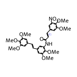 COc1cc(C=Cc2cc(OC)c(OC)c(OC)c2)cc(NC(=O)/C=C/c2cc(OC)c(OC)c([N+](=O)[O-])c2)c1OC